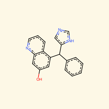 Oc1cc(C(c2ccccc2)c2cnc[nH]2)c2cccnc2c1